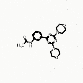 CC(=O)Nc1cccc(-c2nc(N3CCOCC3)nc(N3CCOCC3)n2)c1